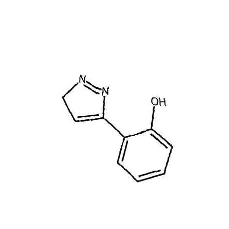 Oc1ccccc1C1=CCN=N1